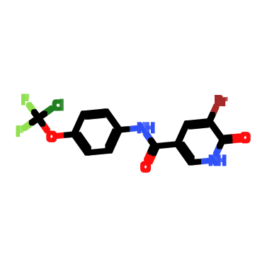 O=C(Nc1ccc(OC(F)(F)Cl)cc1)c1c[nH]c(=O)c(Br)c1